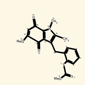 COC(=O)Sc1ccccc1Cc1c2c(n(C)c1C)C(=O)C=C(OC)C2=O